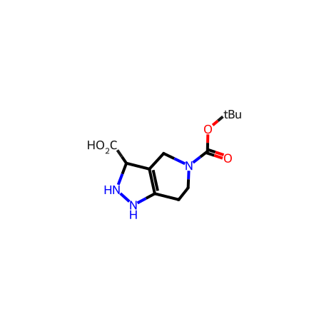 CC(C)(C)OC(=O)N1CCC2=C(C1)C(C(=O)O)NN2